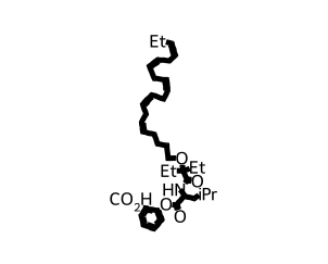 CC/C=C\C/C=C\C/C=C\C/C=C\C/C=C\CCCCOC(CC)(CC)C(=O)NC(CC(C)C)C(=O)Oc1ccccc1C(=O)O